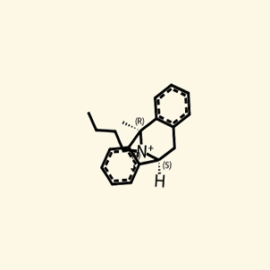 CCCC[N@+]1(C)[C@H]2Cc3ccccc3[C@]1(C)c1ccccc12